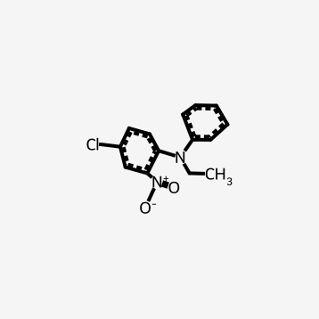 CCN(c1ccccc1)c1ccc(Cl)cc1[N+](=O)[O-]